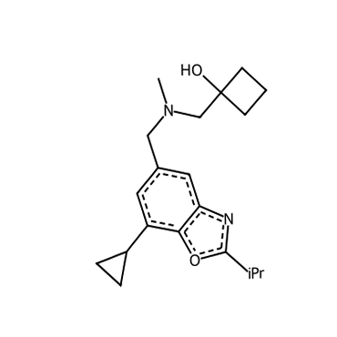 CC(C)c1nc2cc(CN(C)CC3(O)CCC3)cc(C3CC3)c2o1